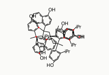 CC(C)c1cc(C(C)(CC(CCC(C)(c2ccc(O)cc2)c2ccc(O)cc2)(CC(C)(c2ccc(O)cc2C(C)C)c2ccc(O)cc2C(C)C)CC(C)(c2ccc(O)c3ccccc23)c2ccc(O)c3ccccc23)c2ccc(O)c(C(C)C)c2)ccc1O